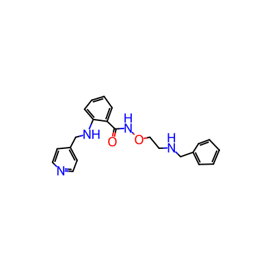 O=C(NOCCNCc1ccccc1)c1ccccc1NCc1ccncc1